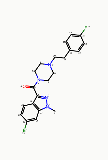 Cn1nc(C(=O)N2CCN(CCc3ccc(F)cc3)CC2)c2ccc(Br)cc21